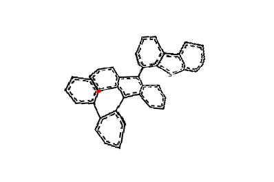 c1ccc(-c2ccccc2-c2c3ccccc3c(-c3cccc4c3sc3ccccc34)c3ccccc23)cc1